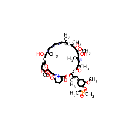 CCP(C)(=O)O[C@@H]1CC[C@@H](C[C@@H](C)[C@@H]2CC(=O)[C@H](C)/C=C(\C)[C@@H](O)[C@@H](OC)C(=O)[C@H](C)C[C@H](C)/C=C/C=C/C=C(\C)[C@@H](O)C[C@@H]3CC[C@@H](C)[C@@](O)(O3)C(=O)C(=O)N3CCCC[C@H]3C(=O)O2)C[C@H]1OC